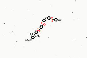 COc1ccc(C(C)(C)c2ccc(OC(=O)c3ccc(C(=O)Oc4ccc(Cc5ccc(OC(=O)c6ccc(C(C)=O)cc6)cc5)cc4)cc3)cc2)cc1